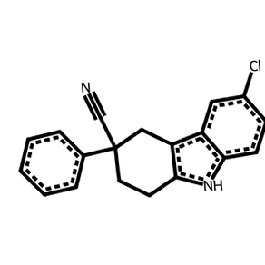 N#CC1(c2ccccc2)CCc2[nH]c3ccc(Cl)cc3c2C1